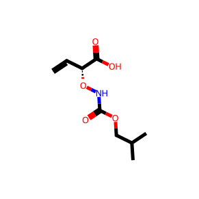 C=C[C@@H](ONC(=O)OCC(C)C)C(=O)O